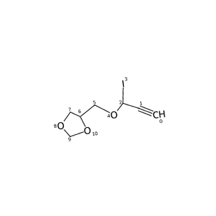 C#CC(I)OCC1COCO1